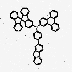 c1ccc2c(c1)-c1ccccc1C21c2ccccc2-c2cc(N(c3ccc(-c4ccc5c(c4)oc4ccccc45)cc3)c3ccc4c5ccccc5c5ccccc5c4c3)ccc21